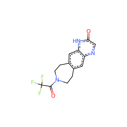 O=C(N1CCc2cc3ncc(=O)[nH]c3cc2CC1)C(F)(F)F